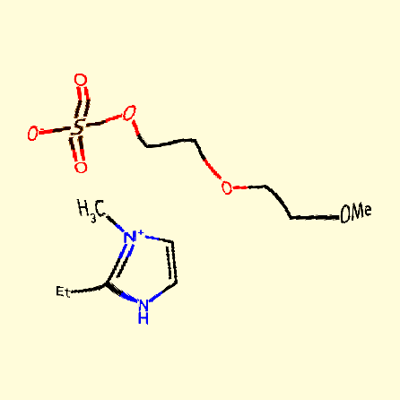 CCc1[nH]cc[n+]1C.COCCOCCOS(=O)(=O)[O-]